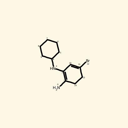 NC1=C(NC2CCCCC2)C=C(Br)CC1